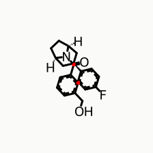 O=C(c1cccc(CO)c1)N1[C@@H]2CC[C@H]1C[C@@H](c1ccc(F)cc1)C2